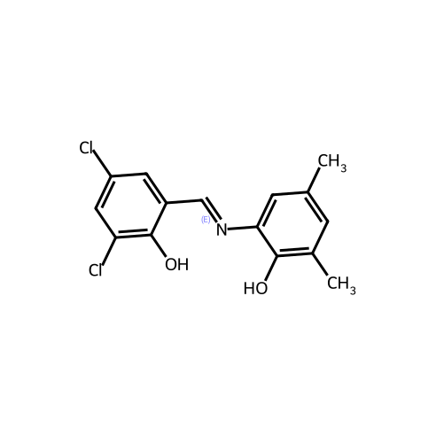 Cc1cc(C)c(O)c(/N=C/c2cc(Cl)cc(Cl)c2O)c1